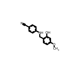 COc1ccc(CNc2ccc(C#N)cc2)c(O)c1